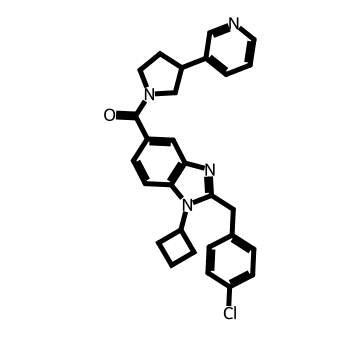 O=C(c1ccc2c(c1)nc(Cc1ccc(Cl)cc1)n2C1CCC1)N1CCC(c2cccnc2)C1